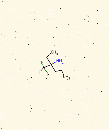 CCCC(N)(CC)C(F)(F)F